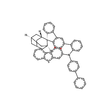 c1ccc(-c2ccc(N(c3ccc4c(c3)sc3ccccc34)c3ccccc3-c3ccc4c(c3)-c3ccccc3[C@]43[C@@H]4CC5C[C@@H](C4)C[C@@H]3C5)cc2)cc1